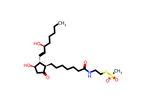 CCCCC[C@H](O)/C=C/[C@H]1[C@H](O)CC(=O)[C@@H]1CCCCCCC(=O)NCCSS(C)(=O)=O